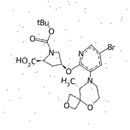 C[C@@H]1N(c2cc(Br)cnc2O[C@H]2C[C@@H](C(=O)O)N(C(=O)OC(C)(C)C)C2)CCOC12COC2